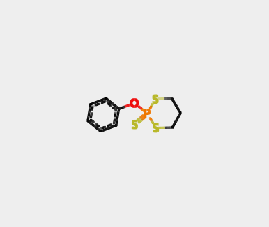 S=P1(Oc2ccccc2)SCCCS1